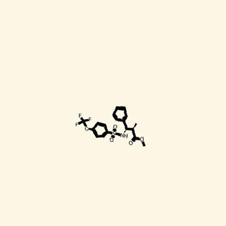 COC(=O)[C@H](C)[C@H](NS(=O)(=O)c1ccc(OC(F)(F)F)cc1)c1ccccc1